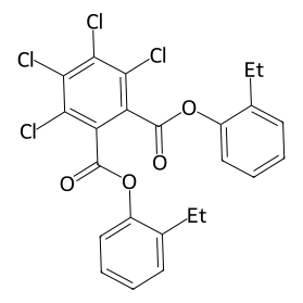 CCc1ccccc1OC(=O)c1c(Cl)c(Cl)c(Cl)c(Cl)c1C(=O)Oc1ccccc1CC